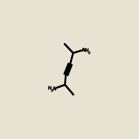 CC(N)C#CC(C)N